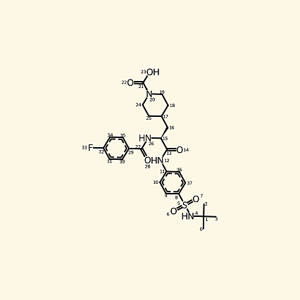 CC(C)(C)NS(=O)(=O)c1ccc(NC(=O)[C@H](CC2CCN(C(=O)O)CC2)NC(=O)c2ccc(F)cc2)cc1